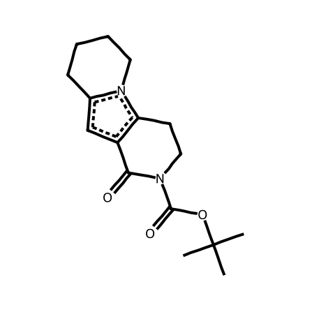 CC(C)(C)OC(=O)N1CCc2c(cc3n2CCCC3)C1=O